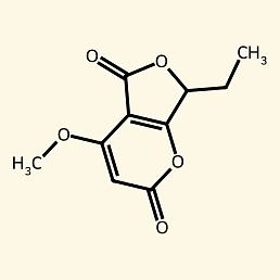 CCC1OC(=O)c2c(OC)cc(=O)oc21